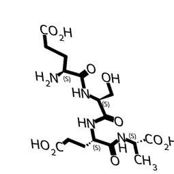 C[C@H](NC(=O)[C@H](CCC(=O)O)NC(=O)[C@H](CO)NC(=O)[C@@H](N)CCC(=O)O)C(=O)O